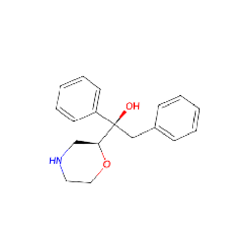 O[C@](Cc1ccccc1)(c1ccccc1)[C@@H]1CNCCO1